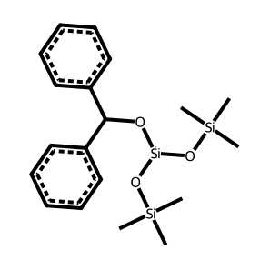 C[Si](C)(C)O[Si](OC(c1ccccc1)c1ccccc1)O[Si](C)(C)C